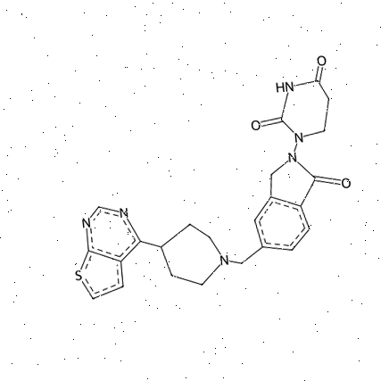 O=C1CCN(N2Cc3cc(CN4CCC(c5ncnc6sccc56)CC4)ccc3C2=O)C(=O)N1